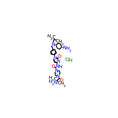 CC(C)CN(Cc1ccc(-n2ccc(NC(=O)N3CCN(C(=O)C(C)(C)N)CC3)nc2=O)cc1)[C@H]1CC[C@H](N)CC1.Cl